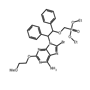 CCOP(=O)(COC(c1ccccc1)C(c1ccccc1)n1c(Br)nc2c(N)nc(OCCOC)nc21)OCC